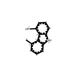 CCCc1cccc2[nH]c3cccc(C)c3c12